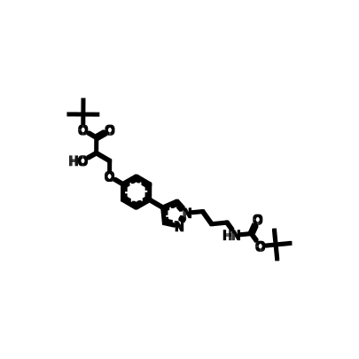 CC(C)(C)OC(=O)NCCCn1cc(-c2ccc(OCC(O)C(=O)OC(C)(C)C)cc2)cn1